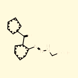 O=C(O)CNN=Nc1ccccc1C(=O)c1ccccc1